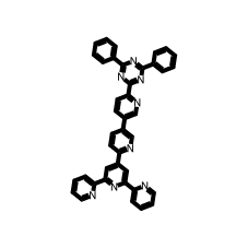 c1ccc(-c2nc(-c3ccccc3)nc(-c3ccc(-c4ccc(-c5cc(-c6ccccn6)nc(-c6ccccn6)c5)nc4)cn3)n2)cc1